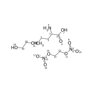 CCCC(N)C(=O)O.O=[N+]([O-])OCCO[N+](=O)[O-].OCCO